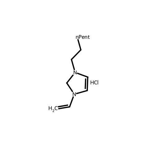 C=CN1C=CN(CCCCCCC)C1.Cl